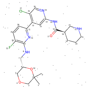 CC1(C)COC[C@H](CNc2nc(-c3cc(NC(=O)[C@@H]4CCCNC4)ncc3Cl)ccc2F)O1